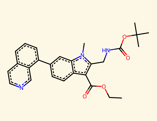 CCOC(=O)c1c(CNC(=O)OC(C)(C)C)n(C)c2cc(-c3cccc4ccncc34)ccc12